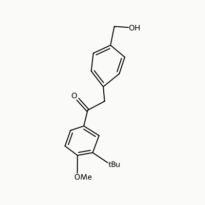 COc1ccc(C(=O)Cc2ccc(CO)cc2)cc1C(C)(C)C